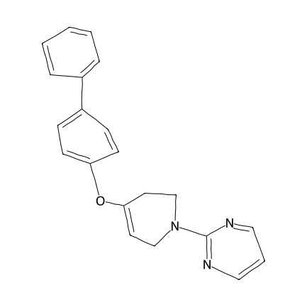 C1=C(Oc2ccc(-c3ccccc3)cc2)CCN(c2ncccn2)C1